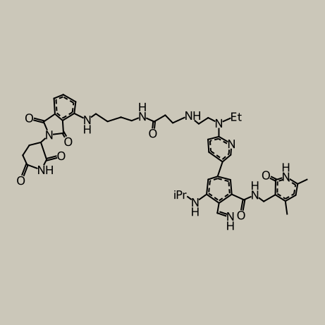 CCN(CCNCCC(=O)NCCCCNc1cccc2c1C(=O)N(C1CCC(=O)NC1=O)C2=O)c1ccc(-c2cc(NC(C)C)c(C=N)c(C(=O)NCc3c(C)cc(C)[nH]c3=O)c2)cn1